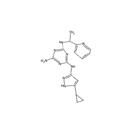 CC(Nc1nc(N)nc(Nc2cc(C3CC3)[nH]n2)n1)c1ccccn1